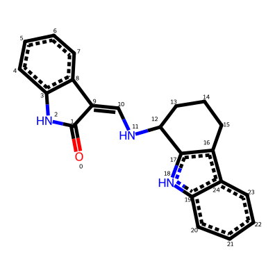 O=C1Nc2ccccc2/C1=C/NC1CCCc2c1[nH]c1ccccc21